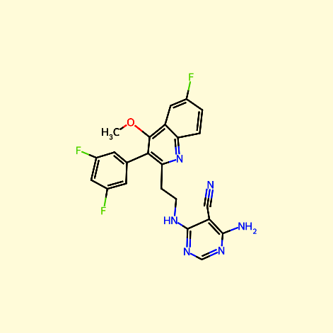 COc1c(-c2cc(F)cc(F)c2)c(CCNc2ncnc(N)c2C#N)nc2ccc(F)cc12